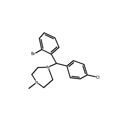 CN1CCN(C(c2ccc(Cl)cc2)c2ccccc2Br)CC1